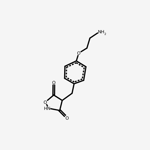 NCCOc1ccc(CC2C(=O)NOC2=O)cc1